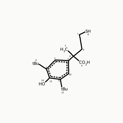 CC(C)(C)c1cc(C(C)(CCS)C(=O)O)cc(C(C)(C)C)c1O